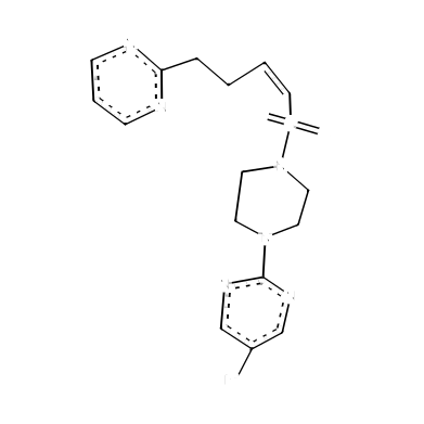 O=S(=O)(/C=C\CCc1ncccn1)N1CCN(c2ncc(Br)cn2)CC1